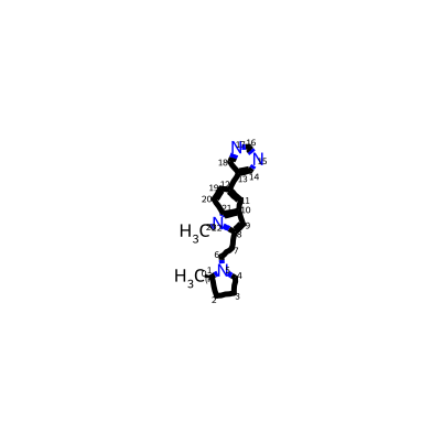 C[C@@H]1CCCN1CCc1cc2cc(-c3cncnc3)ccc2n1C